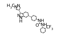 Cn1cc(-c2n[nH]c3cc(-c4ccc(NC(=O)Nc5ccccc5C(F)(F)F)cc4)ccc23)cn1